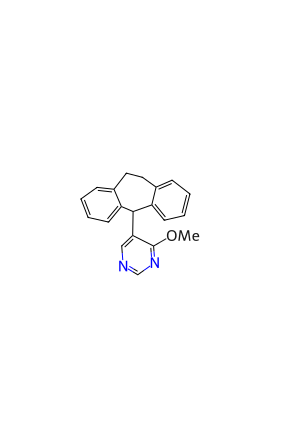 COc1ncncc1C1c2ccccc2CCc2ccccc21